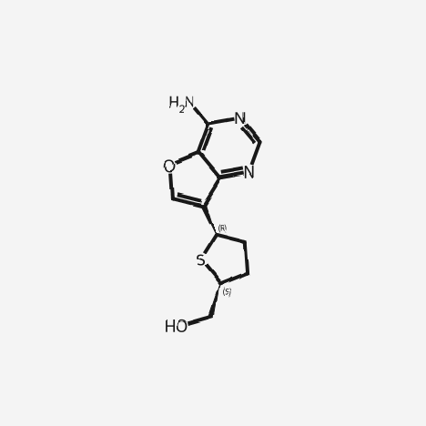 Nc1ncnc2c([C@H]3CC[C@@H](CO)S3)coc12